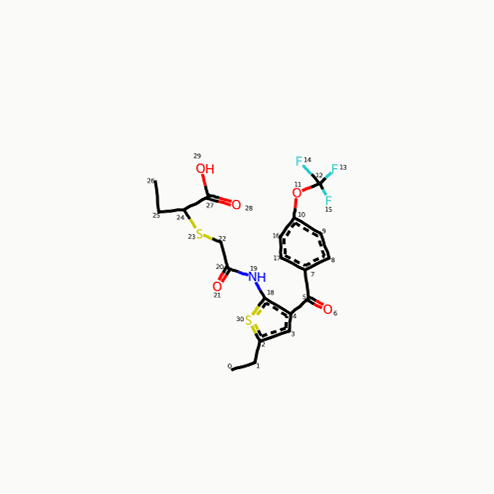 CCc1cc(C(=O)c2ccc(OC(F)(F)F)cc2)c(NC(=O)CSC(CC)C(=O)O)s1